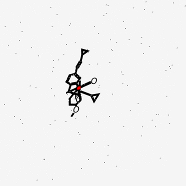 COC1CCC2(CC1)Cc1ccc(C#CC3CC3)cc1C21NC(=O)N(C2CC2)C1=O